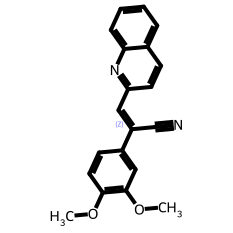 COc1ccc(/C(C#N)=C/c2ccc3ccccc3n2)cc1OC